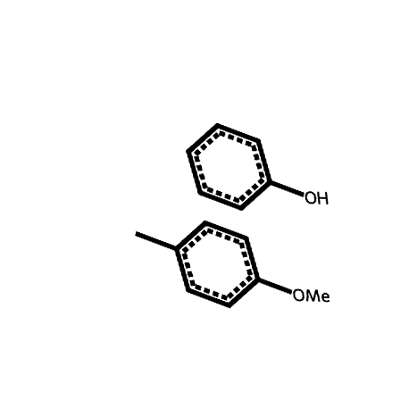 COc1ccc(C)cc1.Oc1ccccc1